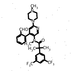 CN1CCN(c2cc(-c3ccccc3C=O)c(N(C)C(=O)C(C)(C)c3cc(C(F)(F)F)cc(C(F)(F)F)c3)cn2)CC1